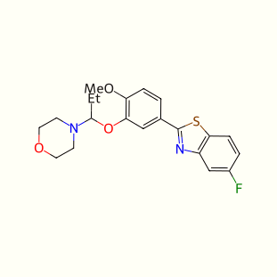 CCC(Oc1cc(-c2nc3cc(F)ccc3s2)ccc1OC)N1CCOCC1